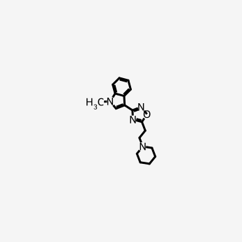 Cn1cc(-c2noc(CCN3CCCCC3)n2)c2ccccc21